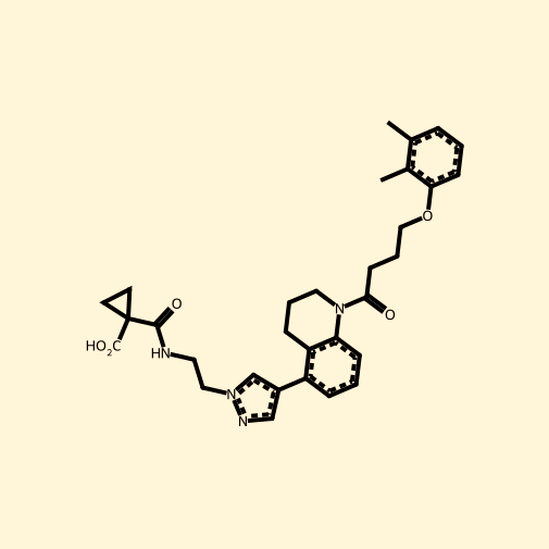 Cc1cccc(OCCCC(=O)N2CCCc3c(-c4cnn(CCNC(=O)C5(C(=O)O)CC5)c4)cccc32)c1C